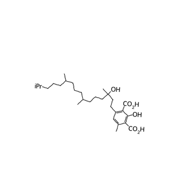 Cc1cc(CCC(C)(O)CCCC(C)CCCC(C)CCCC(C)C)c(C(=O)O)c(O)c1C(=O)O